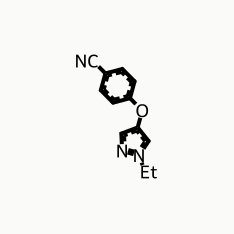 CCn1cc(Oc2ccc(C#N)cc2)cn1